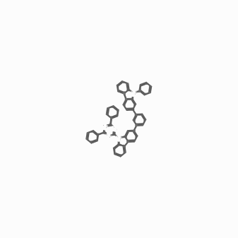 c1ccc(-c2nc(-c3ccccc3)nc(-n3c4ccccc4c4ccc(-c5cccc(-c6ccc7c8ccccc8n(-c8ccccc8)c7c6)c5)cc43)n2)cc1